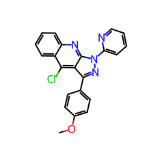 COc1ccc(-c2nn(-c3ccccn3)c3nc4ccccc4c(Cl)c23)cc1